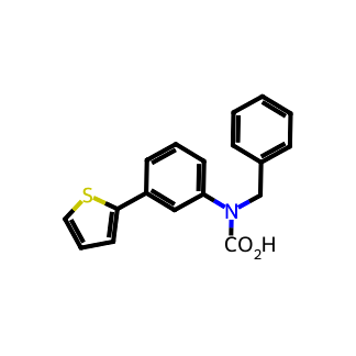 O=C(O)N(Cc1ccccc1)c1cccc(-c2cccs2)c1